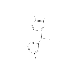 Cc1cc(C([O])c2cccc(C(F)(F)F)c2Br)ccc1F